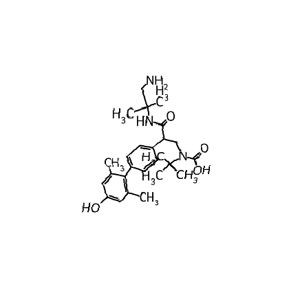 Cc1cc(O)cc(C)c1-c1ccc(C(CN(C(=O)O)C(C)(C)C)C(=O)NC(C)(C)CN)cc1